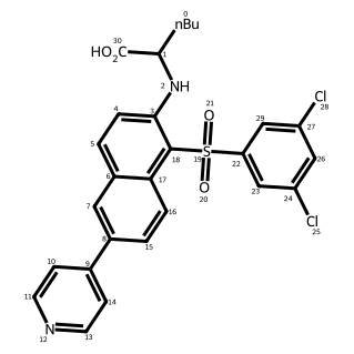 CCCCC(Nc1ccc2cc(-c3ccncc3)ccc2c1S(=O)(=O)c1cc(Cl)cc(Cl)c1)C(=O)O